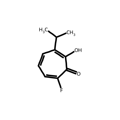 CC(C)c1cccc(F)c(=O)c1O